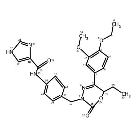 CCOc1ccc(C2=NN(Cc3ccc(NC(=O)c4c[nH]cn4)cc3)C(=O)OC2CC)cc1OC